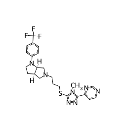 Cn1c(SCCCN2C[C@H]3CCN(c4ccc(C(F)(F)F)cc4)[C@H]3C2)nnc1-c1ccncn1